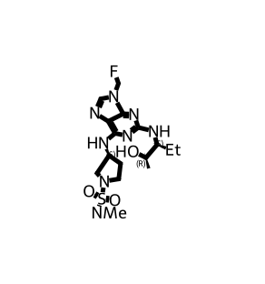 CC[C@H](Nc1nc(N[C@H]2CCN(S(=O)(=O)NC)C2)c2ncn(CF)c2n1)[C@@H](C)O